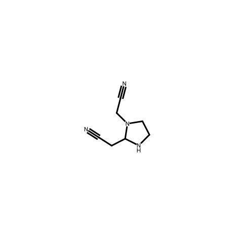 N#CCC1NCCN1CC#N